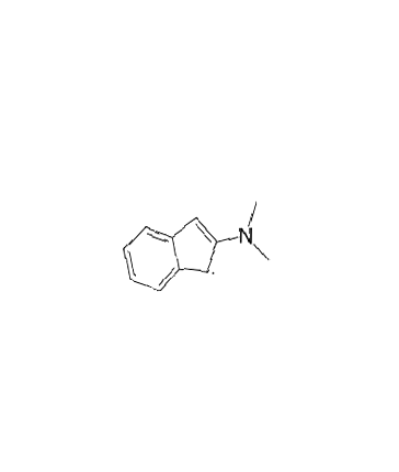 CN(C)C1=Cc2ccccc2[CH]1